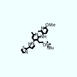 COc1ccc(Nc2nc(C)cc(-n3ccc(-c4nccs4)n3)c2CCO[Si](C)(C)C(C)(C)C)c(C)n1